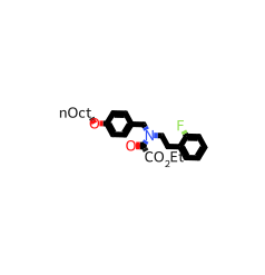 CCCCCCCCOc1ccc(CN(CCc2ccccc2F)C(=O)C(=O)OCC)cc1